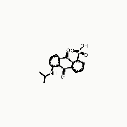 CC(C)Nc1cccc2c1C(=O)c1cccc(S(=O)(=O)O)c1C2=O